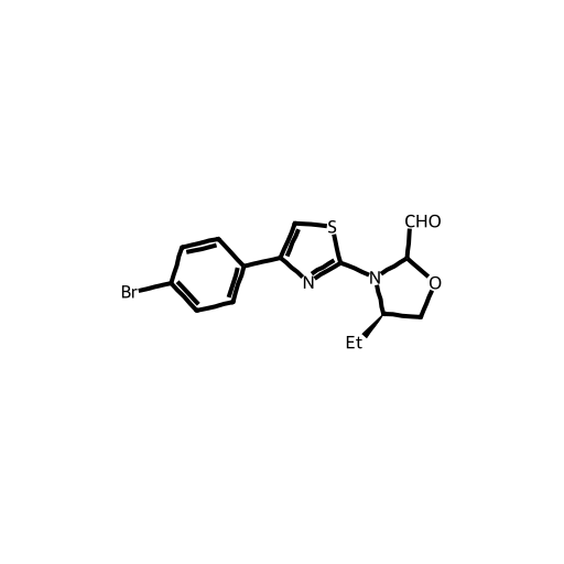 CC[C@@H]1COC(C=O)N1c1nc(-c2ccc(Br)cc2)cs1